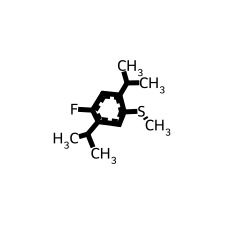 CSc1cc(C(C)C)c(F)cc1C(C)C